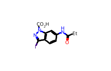 CCC(=O)Nc1ccc2c(I)nn(C(=O)O)c2c1